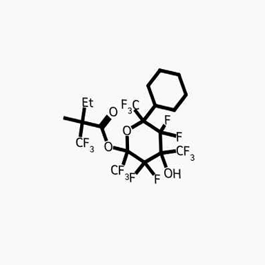 CCC(C)(C(=O)OC1(C(F)(F)F)OC(C2CCCCC2)(C(F)(F)F)C(F)(F)C(O)(C(F)(F)F)C1(F)F)C(F)(F)F